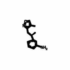 Cc1conc1C[C@@H](C)c1cccc(N)c1